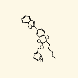 CCCCCC(Oc1ccc(-c2cc3ccccc3o2)cc1)C(=O)OCc1cccnc1